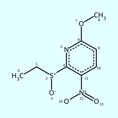 CC[S+]([O-])c1nc(OC)ccc1[N+](=O)[O-]